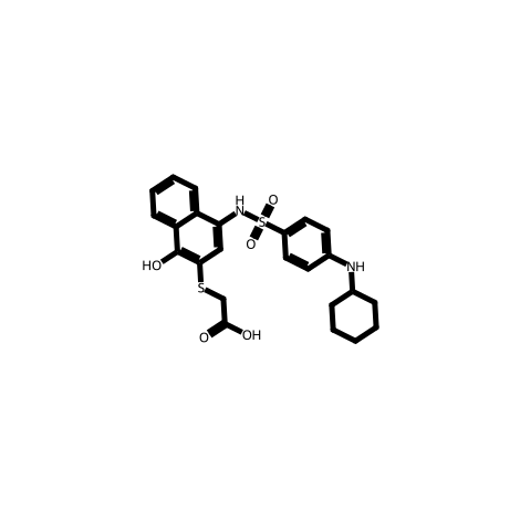 O=C(O)CSc1cc(NS(=O)(=O)c2ccc(NC3CCCCC3)cc2)c2ccccc2c1O